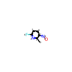 Cc1nc(F)ccc1N=O